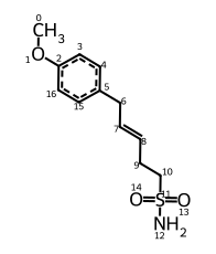 COc1ccc(CC=CCCS(N)(=O)=O)cc1